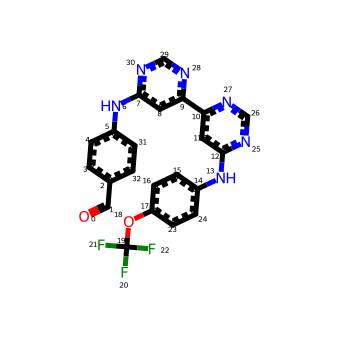 O=Cc1ccc(Nc2cc(-c3cc(Nc4ccc(OC(F)(F)F)cc4)ncn3)ncn2)cc1